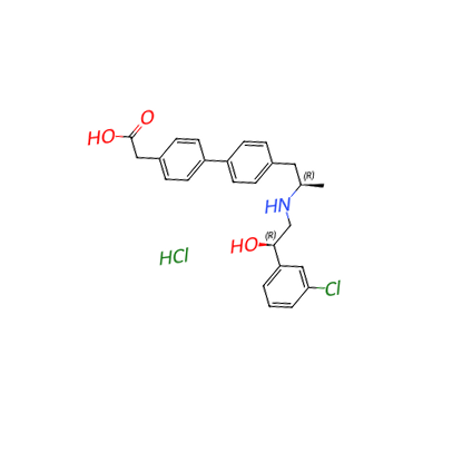 C[C@H](Cc1ccc(-c2ccc(CC(=O)O)cc2)cc1)NC[C@H](O)c1cccc(Cl)c1.Cl